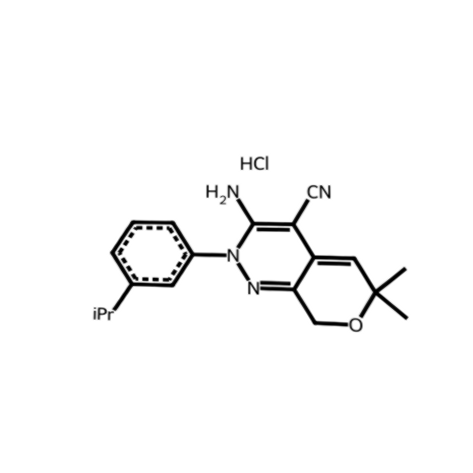 CC(C)c1cccc(N2N=C3COC(C)(C)C=C3C(C#N)=C2N)c1.Cl